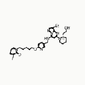 CCc1cnn2c(NCc3ccc(OCCCCCn4cccc(F)c4=O)nc3)cc(N3CCCC[C@H]3CCO)nc12